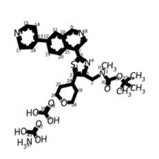 CN(Cc1nc(-c2cncc3cc(-c4ccncc4)ccc23)sc1C1CCOCC1)C(=O)OC(C)(C)C.N.O=C(O)O.O=C(O)O